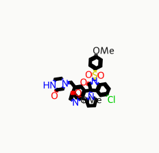 COc1ccc(S(=O)(=O)N2C(=O)C(c3cc(CN4CCNC(=O)C4)ccc3OC)(N3CCC[C@H]3c3ncco3)c3cc(Cl)ccc32)cc1